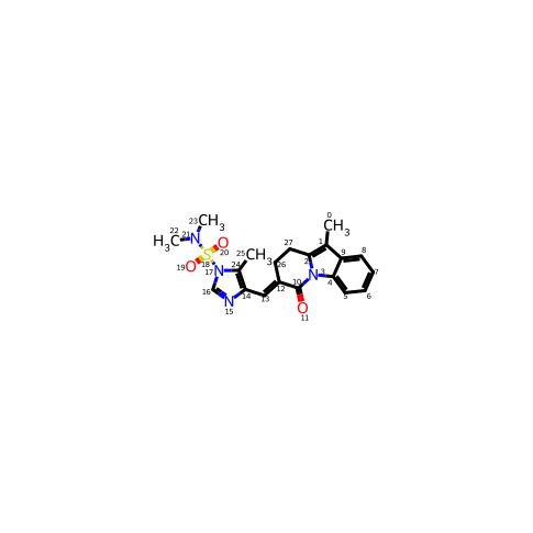 Cc1c2n(c3ccccc13)C(=O)C(=Cc1ncn(S(=O)(=O)N(C)C)c1C)CC2